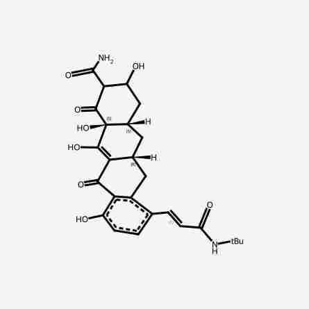 CC(C)(C)NC(=O)/C=C/c1ccc(O)c2c1C[C@H]1C[C@H]3CC(O)C(C(N)=O)C(=O)[C@@]3(O)C(O)=C1C2=O